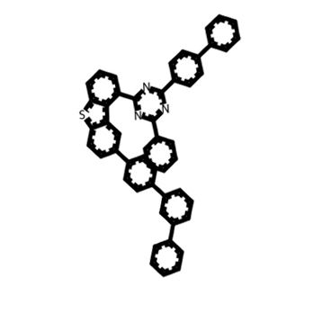 c1ccc(-c2ccc(-c3nc(-c4ccccc4)nc(-c4cccc5sc6ccc(-c7ccc(-c8cccc(-c9ccccc9)c8)cc7)cc6c45)n3)cc2)cc1